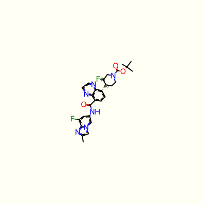 Cc1cn2cc(NC(=O)c3ccc([C@H]4CCN(C(=O)OC(C)(C)C)C[C@@H]4F)c4nccnc34)cc(F)c2n1